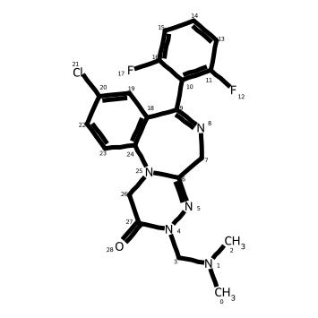 CN(C)CN1N=C2CN=C(c3c(F)cccc3F)c3cc(Cl)ccc3N2CC1=O